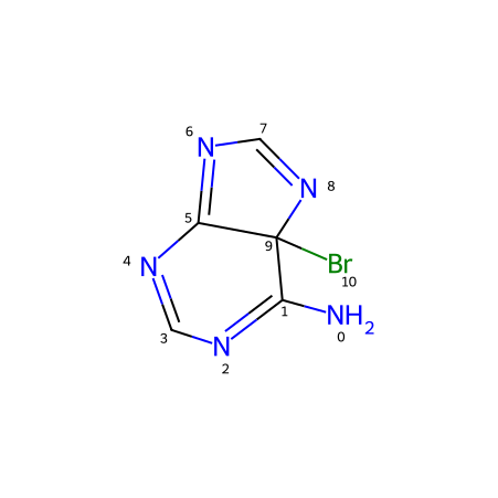 NC1=NC=NC2=NC=NC12Br